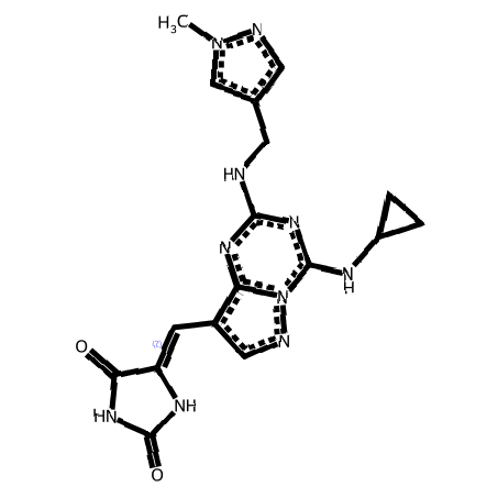 Cn1cc(CNc2nc(NC3CC3)n3ncc(/C=C4\NC(=O)NC4=O)c3n2)cn1